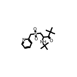 CC(C)(C)NC(CS(=O)(=O)Cc1ccccn1)C(=O)C(C)(C)C